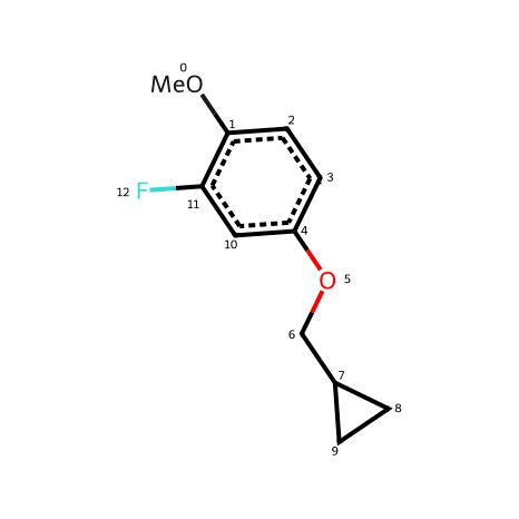 COc1c[c]c(OCC2CC2)cc1F